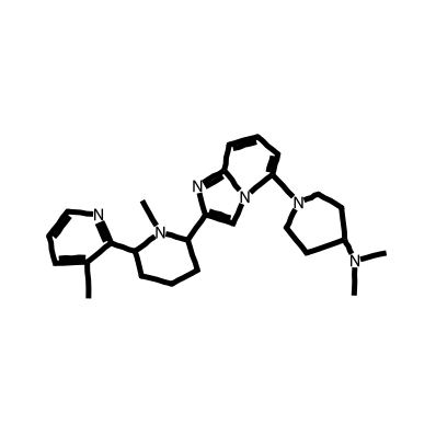 Cc1cccnc1C1CCCC(c2cn3c(N4CCC(N(C)C)CC4)cccc3n2)N1C